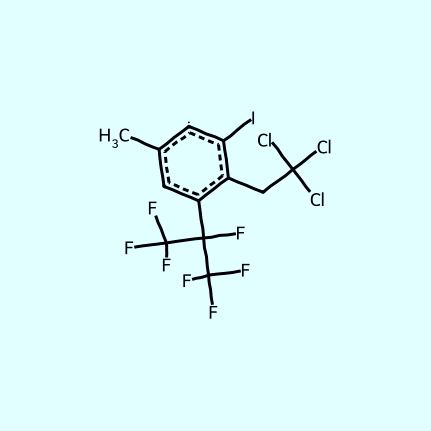 Cc1[c]c(I)c(CC(Cl)(Cl)Cl)c(C(F)(C(F)(F)F)C(F)(F)F)c1